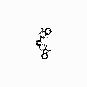 Cn1c(=O)n(Cc2ccc(C(=O)Nc3ccccc3N)s2)c2ccccc21